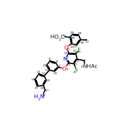 CC(=O)NCc1c(F)c(Oc2cccc(-c3cccc(CN)c3)c2)nc(Oc2cc(C)ccc2C(=O)O)c1F